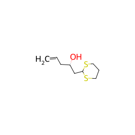 C=CC[C@H](O)CC1SCCCS1